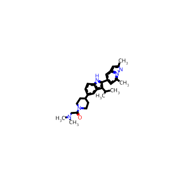 Cc1cc2cc(-c3[nH]c4ccc(C5CCN(C(=O)CN(C)C)CC5)cc4c3C(C)C)cc(C)n2n1